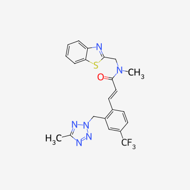 Cc1nnn(Cc2cc(C(F)(F)F)ccc2/C=C/C(=O)N(C)Cc2nc3ccccc3s2)n1